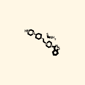 NC=S.c1ccc2c(N3CCN(CC[C@H]4CC[C@@H](N5CCNCC5)CC4)CC3)nsc2c1